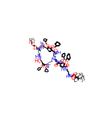 COCCOCCOCCN1CCNC(=O)c2ccc(c(OCc3ccccc3)c2OCc2ccccc2)C(=O)NCCN(CCNC(=O)c2ccc(C(=O)NCCCCCNC(=O)OC(C)(C)C)c(OCc3ccccc3)c2OCc2ccccc2)CCNC(=O)c2ccc(c(OCc3ccccc3)c2OCc2ccccc2)C(O)NCC1